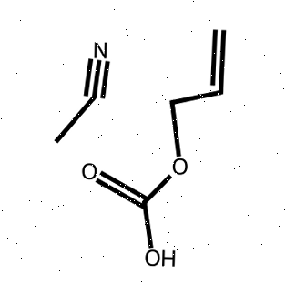 C=CCOC(=O)O.CC#N